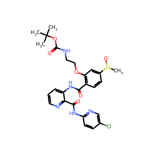 C[S+]([O-])c1ccc(C(=O)Nc2cccnc2C(=O)Nc2ccc(Cl)cn2)c(OCCNC(=O)OC(C)(C)C)c1